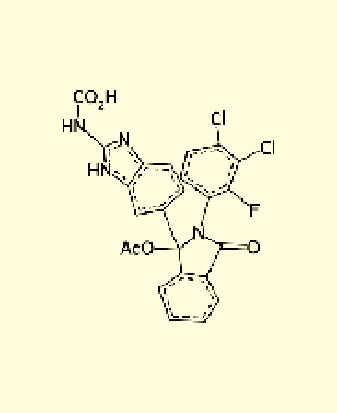 CC(=O)OC1(c2ccc3nc(NC(=O)O)[nH]c3c2)c2ccccc2C(=O)N1c1ccc(Cl)c(Cl)c1F